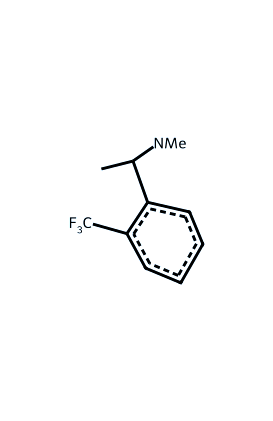 [CH2-][NH2+]C(C)c1ccccc1C(F)(F)F